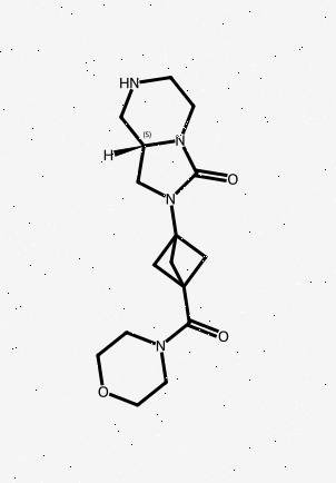 O=C1N2CCNC[C@H]2CN1C12CC(C(=O)N3CCOCC3)(C1)C2